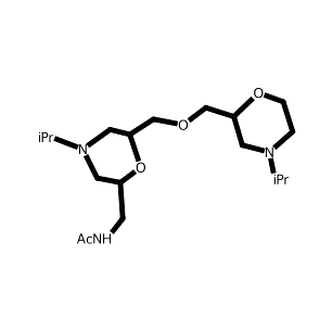 CC(=O)NCC1CN(C(C)C)CC(COCC2CN(C(C)C)CCO2)O1